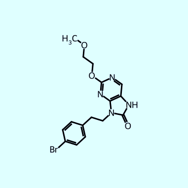 COCCOc1ncc2[nH]c(=O)n(CCc3ccc(Br)cc3)c2n1